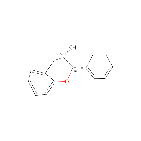 C[C@H]1Cc2ccccc2O[C@H]1c1ccccc1